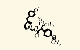 COc1ccc(C(C(=O)OCn2ccc(Cc3ccc(Cl)cc3)c2)C(C)C)cc1